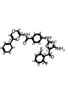 Nc1nc(Nc2ccc(C(=O)NC3=COC=C(C4=CC=CCC4)O3)cc2)sc1C(=O)c1c(F)cccc1F